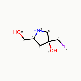 OC[C@@H]1C[C@@](O)(CI)CN1